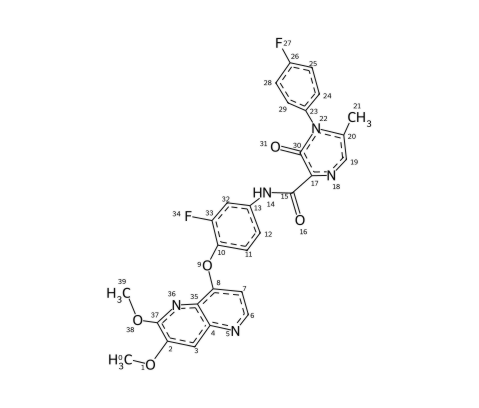 COc1cc2nccc(Oc3ccc(NC(=O)c4ncc(C)n(-c5ccc(F)cc5)c4=O)cc3F)c2nc1OC